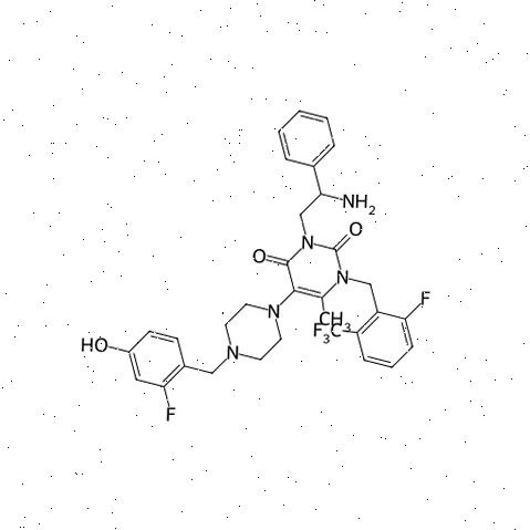 Cc1c(N2CCN(Cc3ccc(O)cc3F)CC2)c(=O)n(CC(N)c2ccccc2)c(=O)n1Cc1c(F)cccc1C(F)(F)F